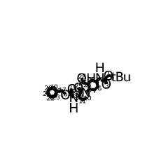 CC(C)(C)OC(=O)NC1CCC(N2CC[C@H](NC(=O)OCc3ccccc3)C2=O)C(CO)C1